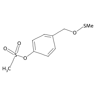 CSOCc1ccc(OS(C)(=O)=O)cc1